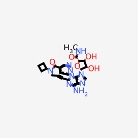 CNC(=O)[C@H]1O[C@@H](n2cnc3c(N)nc(C#CCN(C(=O)c4ccnnc4)C4CCC4)nc32)[C@H](O)C1O